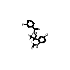 O=C1Nc2ccc(Cl)cc2C(CNC(=O)c2cccc(F)c2)(C(F)(F)F)O1